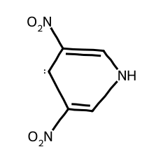 O=[N+]([O-])C1=CNC=C([N+](=O)[O-])[C]1